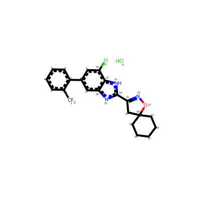 Cl.FC(F)(F)c1ccccc1-c1cc(Cl)c2[nH]c(C3=NOC4(CCCCC4)C3)nc2c1